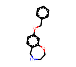 c1ccc(COc2ccc3c(c2)OCCNC3)cc1